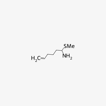 C=CCCCC(N)SC